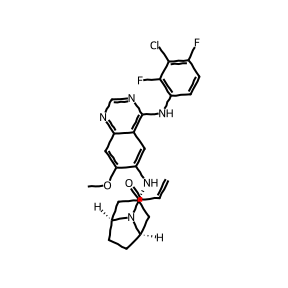 C=CC(=O)N1[C@@H]2CC[C@H]1C[C@H](Nc1cc3c(Nc4ccc(F)c(Cl)c4F)ncnc3cc1OC)C2